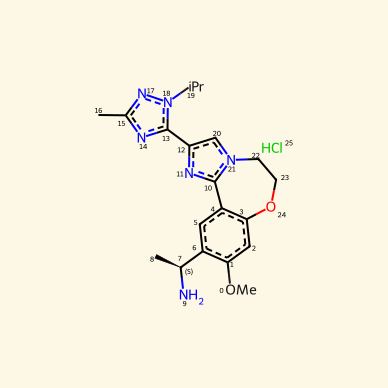 COc1cc2c(cc1[C@H](C)N)-c1nc(-c3nc(C)nn3C(C)C)cn1CCO2.Cl